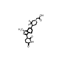 Cn1nc(C2CCC(=O)NC2=O)c2ccc(C3CCN(CC(=O)O)CC3(F)F)cc21